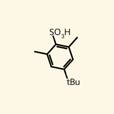 Cc1cc(C(C)(C)C)cc(C)c1S(=O)(=O)O